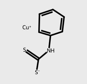 S=C([S-])Nc1ccccc1.[Cu+]